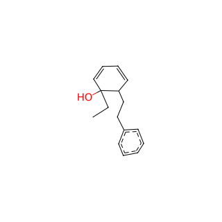 CCC1(O)C=CC=CC1CCc1ccccc1